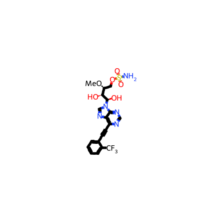 CO[C@H](COS(N)(=O)=O)[C@@H](O)[C@@H](O)n1cnc2c(C#Cc3ccccc3C(F)(F)F)ncnc21